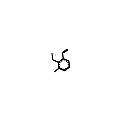 C=Cc1cccc(C)c1CN